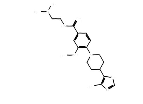 C=C(NCCN(C)C)c1ccc(N2CCC(c3[nH]cnc3C)CC2)c(NC)c1